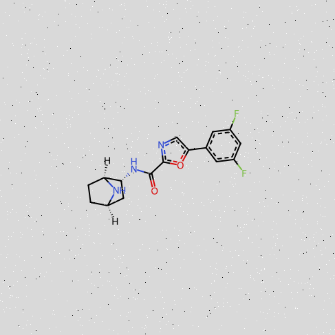 O=C(N[C@@H]1C[C@H]2CC[C@@H]1N2)c1ncc(-c2cc(F)cc(F)c2)o1